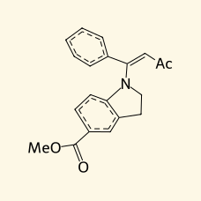 COC(=O)c1ccc2c(c1)CCN2/C(=C\C(C)=O)c1ccccc1